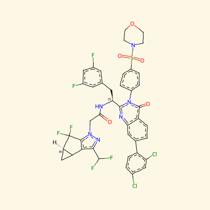 O=C(Cn1nc(C(F)F)c2c1C(F)(F)[C@@H]1CC21)N[C@@H](Cc1cc(F)cc(F)c1)c1nc2cc(-c3ccc(Cl)cc3Cl)ccc2c(=O)n1-c1ccc(S(=O)(=O)N2CCOCC2)cc1